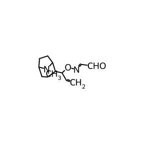 C=CC(ON=CC=O)C1CCC2CCC1N2C